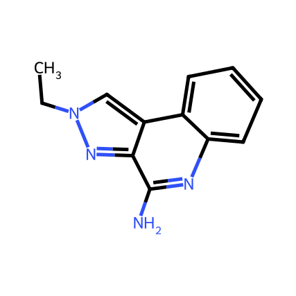 CCn1cc2c(n1)c(N)nc1ccccc12